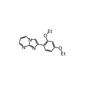 CCOc1ccc(-c2cn3cccnc3n2)c(OCC)c1